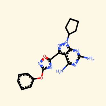 Nc1nc(N)c2c(-c3nc(Oc4ccccc4)no3)nn(C3CCCC3)c2n1